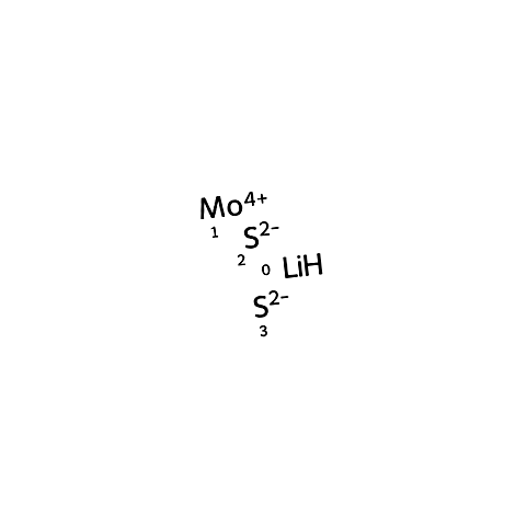 [LiH].[Mo+4].[S-2].[S-2]